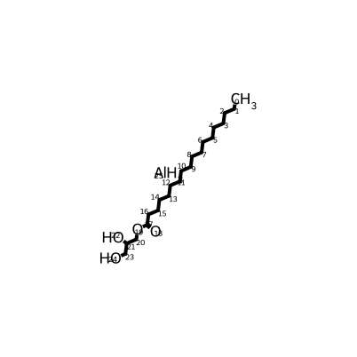 CCCCCCCCCCCCCCCCCC(=O)OCC(O)CO.[AlH3]